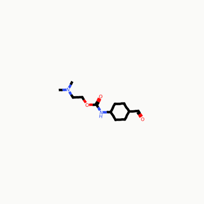 CN(C)CCOC(=O)NC1CCC(C=O)CC1